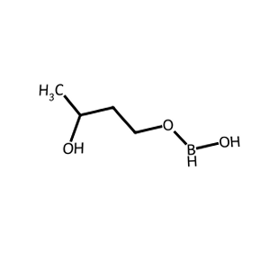 CC(O)CCOBO